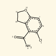 NC(=O)c1c(Cl)ccc2c1CCO2